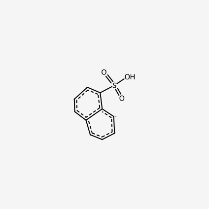 O=S(=O)(O)c1cccc2ccc[c]c12